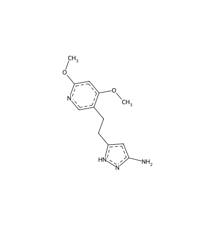 COc1cc(OC)c(CCc2cc(N)n[nH]2)cn1